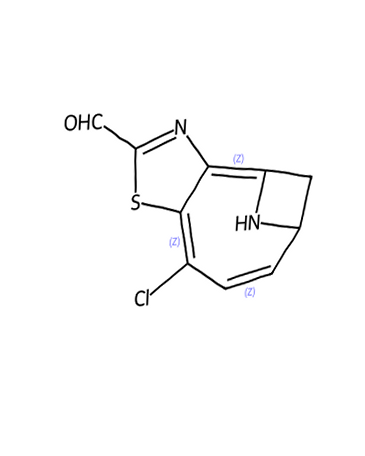 O=Cc1nc2/c(s1)=C(Cl)\C=C/C1C\C=2N1